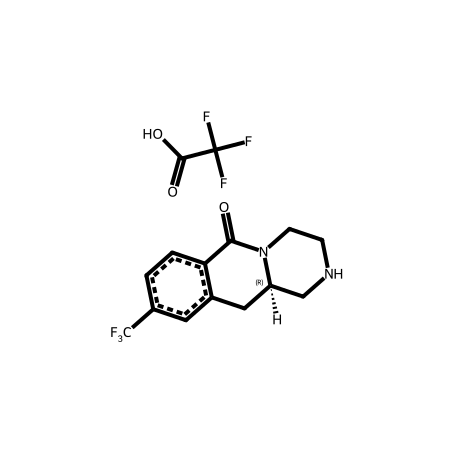 O=C(O)C(F)(F)F.O=C1c2ccc(C(F)(F)F)cc2C[C@@H]2CNCCN12